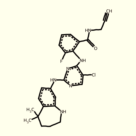 C#CCNC(=O)c1cccc(F)c1Nc1nc(Nc2ccc3c(c2)NCCCC3(C)C)ncc1Cl